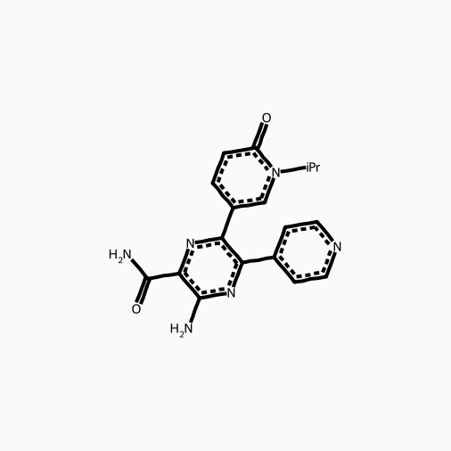 CC(C)n1cc(-c2nc(C(N)=O)c(N)nc2-c2ccncc2)ccc1=O